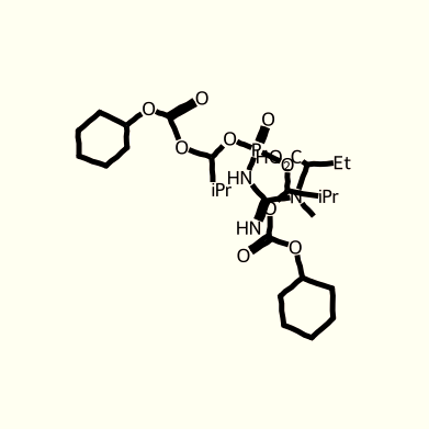 CCC(C(=O)O)N(C)C(=N)NP(=O)(OC(OC(=O)OC1CCCCC1)C(C)C)OC(OC(=O)OC1CCCCC1)C(C)C